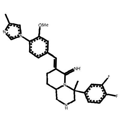 COc1cc(/C=C2\CCC3CNCC(C)(c4ccc(F)c(F)c4)N3C2=N)ccc1-n1cnc(C)c1